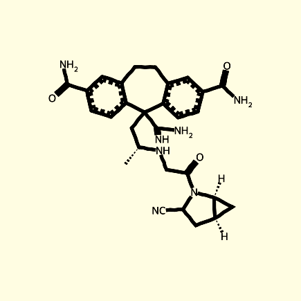 C[C@H](CC1(C(=N)N)c2ccc(C(N)=O)cc2CCc2cc(C(N)=O)ccc21)NCC(=O)N1C(C#N)C[C@@H]2C[C@@H]21